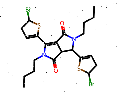 CCCCN1C(=O)C2C(=C1C1=CCC(Br)S1)C(=O)N(CCCC)C2C1=CCC(Br)S1